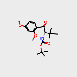 COc1ccc(C(=O)[C@@H](NC(=O)OC(C)(C)C)C(C)(C)C)c(OC)c1